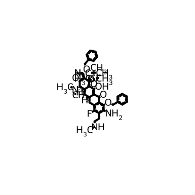 CNCCc1c(N)c(OCc2ccccc2)c2c(c1F)C[C@H]1C[C@H]3[C@H](N(C)C)c4onc(OCc5ccccc5)c4C(=O)[C@@]3(O[Si](C)(C)C(C)(C)C)C(O)=C1C2=O